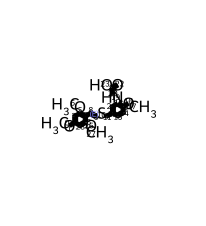 COc1cc(OC)c(/C=C/SCc2ccc(OC)c(NCC(=O)O)c2)c(OC)c1